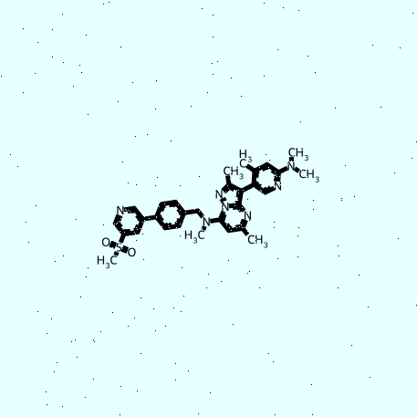 Cc1cc(N(C)Cc2ccc(-c3cncc(S(C)(=O)=O)c3)cc2)n2nc(C)c(-c3cnc(N(C)C)cc3C)c2n1